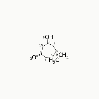 C=C.O=C1CCCCC(O)C1